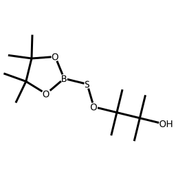 CC(C)(O)C(C)(C)OSB1OC(C)(C)C(C)(C)O1